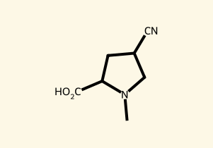 CN1CC(C#N)CC1C(=O)O